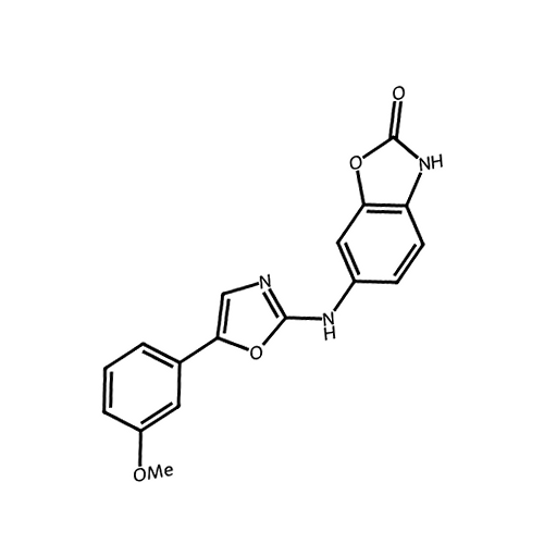 COc1cccc(-c2cnc(Nc3ccc4[nH]c(=O)oc4c3)o2)c1